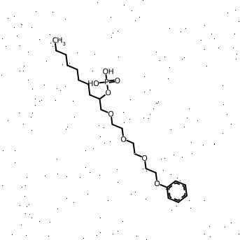 CCCCCCCCC(COCCOCCOCCOc1ccccc1)OP(=O)(O)O